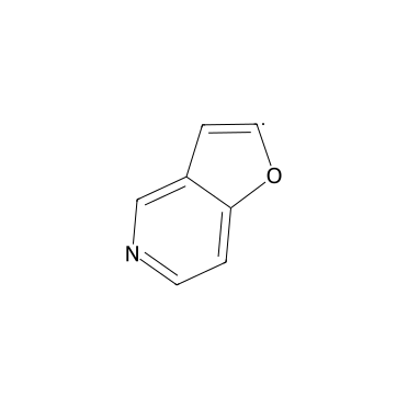 [c]1cc2cnccc2o1